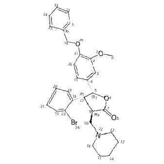 COc1cc([C@@H]2OC(=O)[C@@H](CN3CCCCC3)[C@@H]2c2ccccc2Br)ccc1OCc1ccccc1